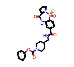 O=C(NCC1CCN(C(=O)Oc2ccccc2)CC1)c1ccc2c(c1)NC(=O)c1cccn1S2(=O)=O